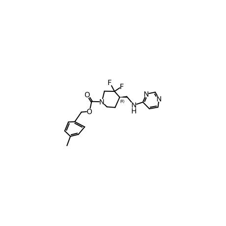 Cc1ccc(COC(=O)N2CC[C@H](CNc3ccncn3)C(F)(F)C2)cc1